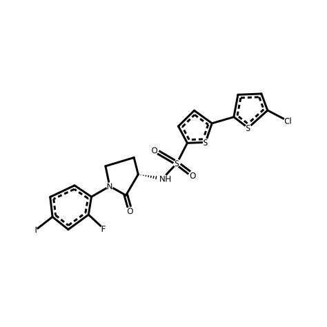 O=C1[C@@H](NS(=O)(=O)c2ccc(-c3ccc(Cl)s3)s2)CCN1c1ccc(I)cc1F